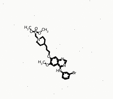 COc1cc2c(Nc3cccc(Br)c3)ncnc2cc1OCCCC1CCN(CP(=O)(OC)OC)CC1